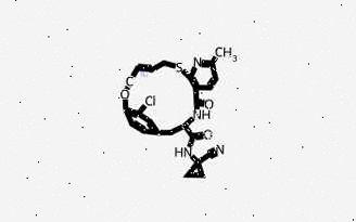 Cc1ccc2c(n1)SC/C=C/COc1ccc(cc1Cl)CC(C(=O)NC1(C#N)CC1)NC2=O